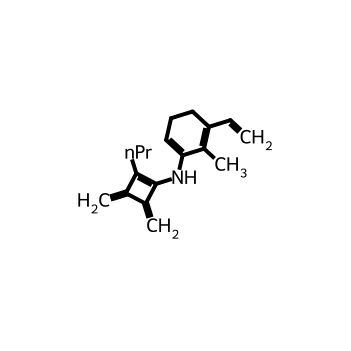 C=CC1=C(C)C(NC2=C(CCC)C(=C)C2=C)=CCC1